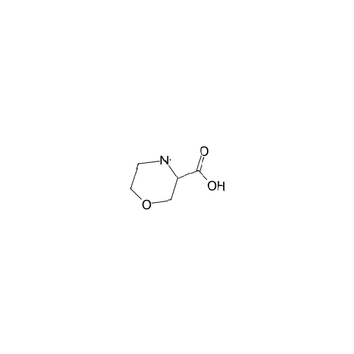 O=C(O)C1COCC[N]1